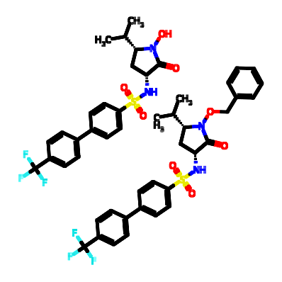 CC(C)[C@H]1C[C@@H](NS(=O)(=O)c2ccc(-c3ccc(C(F)(F)F)cc3)cc2)C(=O)N1O.CC(C)[C@H]1C[C@@H](NS(=O)(=O)c2ccc(-c3ccc(C(F)(F)F)cc3)cc2)C(=O)N1OCc1ccccc1